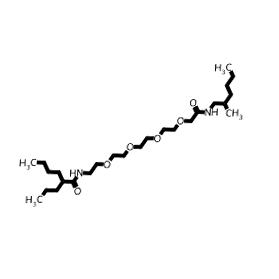 CCCCC(C)CNC(=O)COCCOCCOCCOCCNC(=O)C(CCC)CCCC